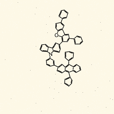 c1ccc(-c2ccc3oc4c(-c5ccc6c(c5)c5ccccc5n6-c5cccc(-c6ccc7c(-c8ccccc8)c8ccccc8c(-c8ccccc8)c7c6)c5)cc(-c5ccccc5)cc4c3c2)cc1